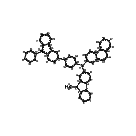 C=C1c2ccccc2-c2ccc(N(c3ccc(-c4ccc5c(c4)c4ccccc4n5-c4ccccc4)cc3)c3ccc4c(ccc5ccccc54)c3)cc21